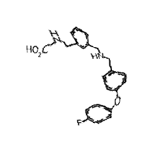 O=C(O)NCc1cccc(CNCc2ccc(Oc3ccc(F)cc3)cc2)c1